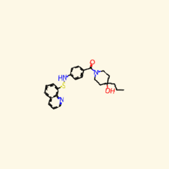 CCCC1(O)CCN(C(=O)c2ccc(NSc3cccc4cccnc34)cc2)CC1